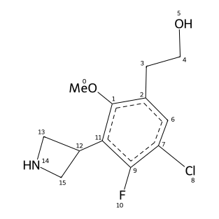 COc1c(CCO)cc(Cl)c(F)c1C1CNC1